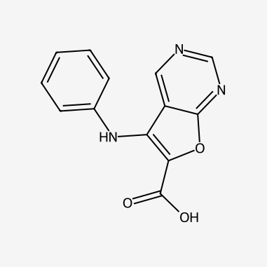 O=C(O)c1oc2ncncc2c1Nc1ccccc1